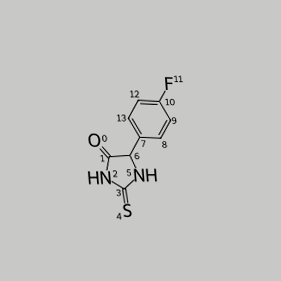 O=C1NC(=S)NC1c1ccc(F)cc1